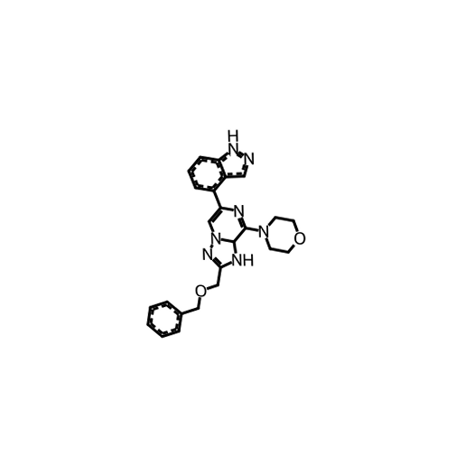 C1=C(c2cccc3[nH]ncc23)N=C(N2CCOCC2)C2NC(COCc3ccccc3)=NN12